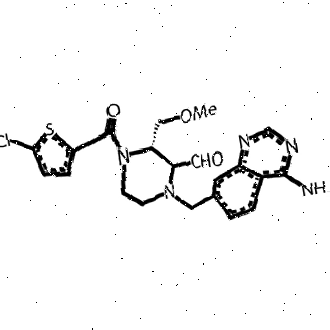 COC[C@@H]1C(C=O)N(Cc2ccc3c(N)ncnc3c2)CCN1C(=O)c1ccc(Cl)s1